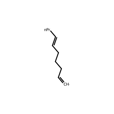 [CH]=CCCCC=CCCC